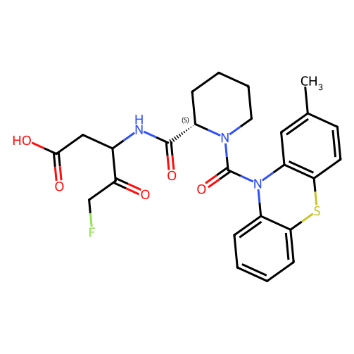 Cc1ccc2c(c1)N(C(=O)N1CCCC[C@H]1C(=O)NC(CC(=O)O)C(=O)CF)c1ccccc1S2